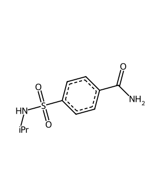 CC(C)NS(=O)(=O)c1ccc(C(N)=O)cc1